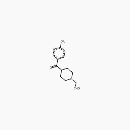 O=CCN1CCC(C(=O)c2ccc(C(F)(F)F)nc2)CC1